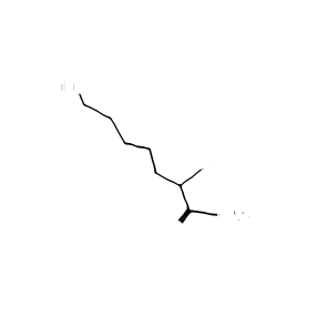 COC(=O)C(Br)CCCCCC(C)C